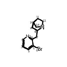 Brc1cccnc1CC1CC2CCN1C2